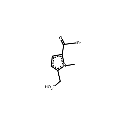 CC(C)C(=O)c1ccc(CC(=O)O)n1C